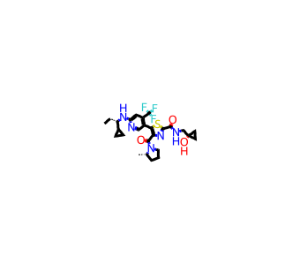 CC[C@H](Nc1cc(C(F)(F)F)c(-c2sc(C(=O)NCC3(O)CC3)nc2C(=O)N2CCC[C@@H]2C)cn1)C1CC1